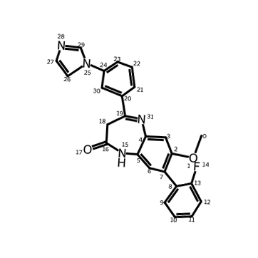 COc1cc2c(cc1-c1ccccc1F)NC(=O)CC(c1cccc(-n3ccnc3)c1)=N2